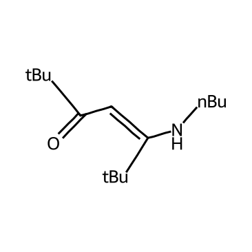 CCCCNC(=CC(=O)C(C)(C)C)C(C)(C)C